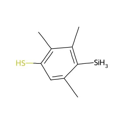 Cc1cc(S)c(C)c(C)c1[SiH3]